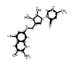 Cc1cc(=O)n([C@@H]2C=C(COc3cc(F)c4cc(Cl)c(N)nc4c3)[C@@H](O)[C@H]2O)cn1